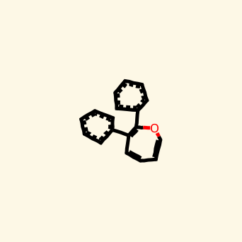 C1=COC(c2ccccc2)=C(c2ccccc2)C=C1